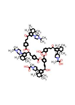 CC(C)N1CCN(c2cc(C(=O)C=Cc3ccc(C(=O)OC(C=Cc4ccc(C(=O)Oc5cc(C#CC(O)c6cc(C7=CCN(C(C)C(=O)O)CC7)c7c(c6)C(C)(C)CCC7(C)C)ccc5C(=O)Oc5cc(C=CC(=O)c6cc(C7=CCN(C(C)C(=O)O)CC7)c7c(c6)C(C)(C)CCC7(C)C)ccc5C(=O)O)cc4)c4cc(N5CCN(C(C)C)CC5)c5c(c4)C(C)(C)CCC5(C)C)cc3)cc3c2C(C)(C)CCC3(C)C)CC1